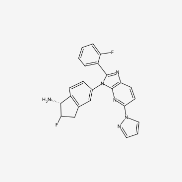 N[C@@H]1c2ccc(-n3c(-c4ccccc4F)nc4ccc(-n5cccn5)nc43)cc2CC1F